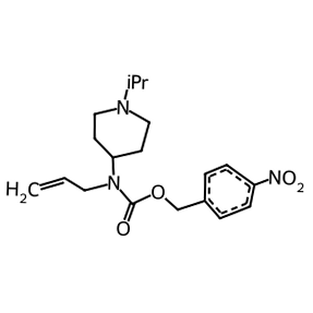 C=CCN(C(=O)OCc1ccc([N+](=O)[O-])cc1)C1CCN(C(C)C)CC1